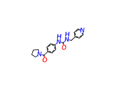 O=C(NCc1ccncc1)Nc1ccc(C(=O)N2CCCC2)cc1